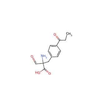 CCC(=O)c1ccc(CC(N)(C=O)C(=O)O)cc1